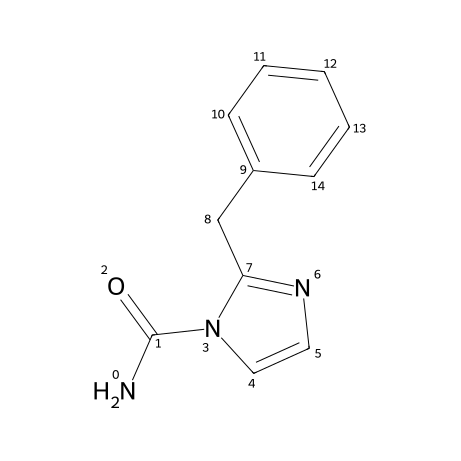 NC(=O)n1ccnc1Cc1ccccc1